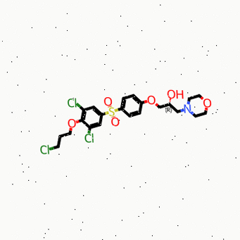 O=S(=O)(c1ccc(OC[C@H](O)CN2CCOCC2)cc1)c1cc(Cl)c(OCCCCl)c(Cl)c1